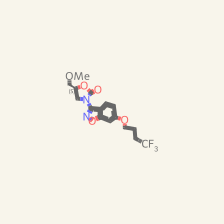 COC[C@@H]1CN(c2noc3cc(OCCCC(F)(F)F)ccc23)C(=O)O1